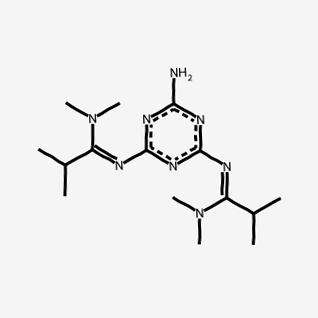 CC(C)C(=Nc1nc(N)nc(N=C(C(C)C)N(C)C)n1)N(C)C